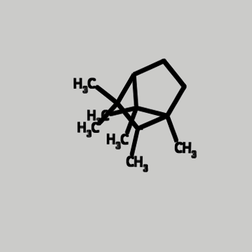 C[C]1C(C)(C)C2CCC1(C)C2(C)C